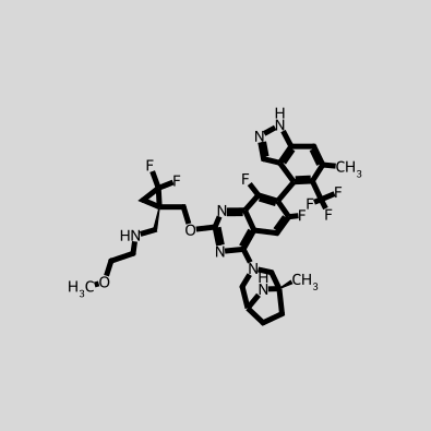 COCCNC[C@@]1(COc2nc(N3CC4CC[C@@](C)(C3)N4)c3cc(F)c(-c4c(C(F)(F)F)c(C)cc5[nH]ncc45)c(F)c3n2)CC1(F)F